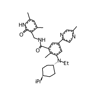 CCN(c1cc(-c2cnc(C)cn2)cc(C(=O)NCc2c(C)cc(C)[nH]c2=O)c1C)[C@H]1CC[C@H](C(C)C)CC1